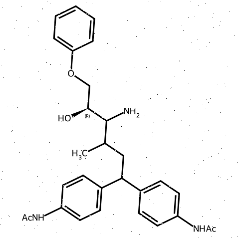 CC(=O)Nc1ccc(C(CC(C)C(N)[C@@H](O)COc2ccccc2)c2ccc(NC(C)=O)cc2)cc1